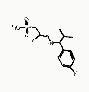 CC(C)C(NCC(F)CS(=O)(=O)O)c1ccc(F)cc1